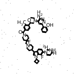 [2H]C1C=CN(c2ccc3c(C4CCN(CC5(F)CCN(C(=O)c6ccc(C7CN(c8cc(-c9ccccc9O)nnc8N)CCO7)c(C)c6)CC5)CC4)cn(C4CCC4)c3c2F)C([2H])N1